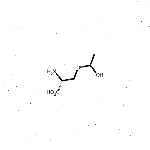 CC(O)OC[C@@H](N)C(=O)O